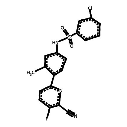 Cc1cc(NS(=O)(=O)c2cccc(Cl)c2)ccc1-c1ccc(F)c(C#N)n1